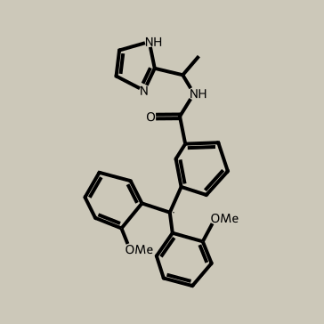 COc1ccccc1[C](c1cccc(C(=O)NC(C)c2ncc[nH]2)c1)c1ccccc1OC